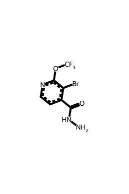 NNC(=O)c1ccnc(OC(F)(F)F)c1Br